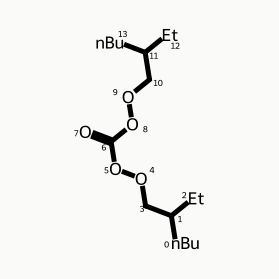 CCCCC(CC)COOC(=O)OOCC(CC)CCCC